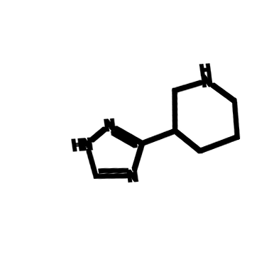 c1nc(C2CCCNC2)n[nH]1